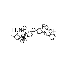 Cc1ccc(S(=O)(=O)N=c2ccc(Oc3ccc(N(Cc4ccccc4)C(=O)O)c(F)c3)cn2CC(N)=O)cc1